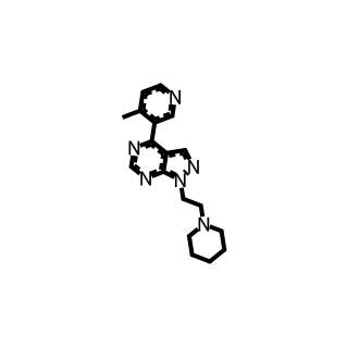 Cc1ccncc1-c1ncnc2c1cnn2CCN1CCCCC1